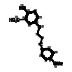 COc1ccc(CCCOc2ccc(O)c(C(=O)O)c2)cc1